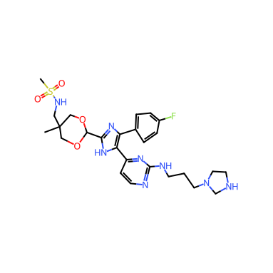 CC1(CNS(C)(=O)=O)COC(c2nc(-c3ccc(F)cc3)c(-c3ccnc(NCCCN4CCNC4)n3)[nH]2)OC1